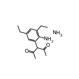 CCc1cc(CC)c(N)c(C(C(C)=O)C(C)=O)c1.N